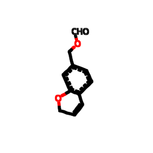 O=COCc1ccc2c(c1)OCC=C2